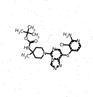 CC1(NC(=O)OC(C)(C)C)CCN(c2ncc(Sc3ccnc(N)c3Cl)c3nncn23)CC1